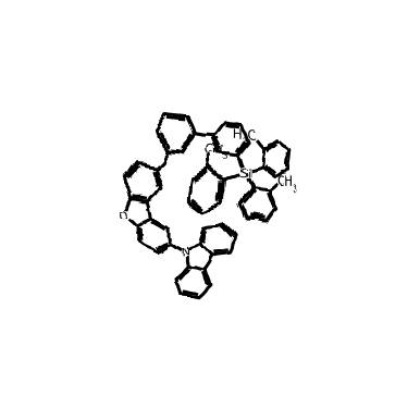 Cc1ccccc1[Si](c1cccc(-c2cccc(-c3ccc4oc5ccc(-n6c7ccccc7c7ccccc76)cc5c4c3)c2)c1)(c1ccccc1C)c1ccccc1C